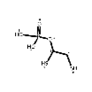 O=P(O)(O)OC(S)CS